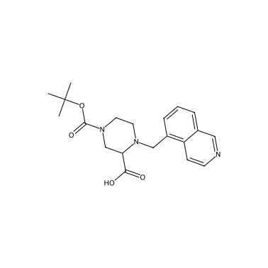 CC(C)(C)OC(=O)N1CCN(Cc2cccc3cnccc23)C(C(=O)O)C1